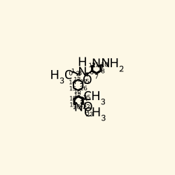 CCC(NC(=O)c1ccc(N)nc1)[C@H]1CC[C@@H](c2ccnc(OC)c2C)CC1